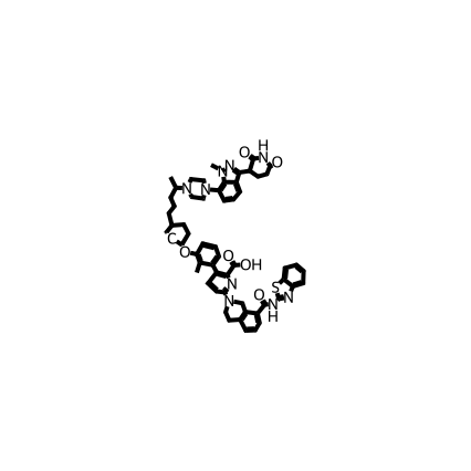 Cc1c(OC2CCC(CCCC(C)N3CCN(c4cccc5c(C6CCC(=O)NC6=O)nn(C)c45)CC3)CC2)cccc1-c1ccc(N2CCc3cccc(C(=O)Nc4nc5ccccc5s4)c3C2)nc1C(=O)O